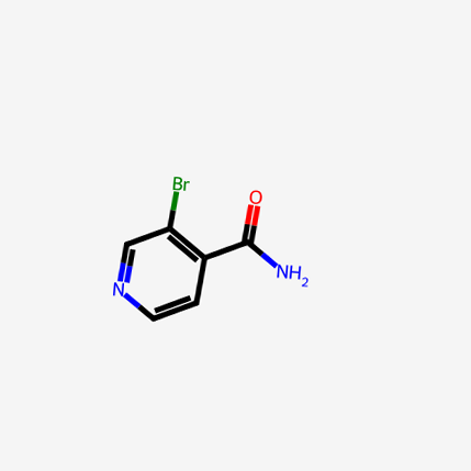 NC(=O)c1ccncc1Br